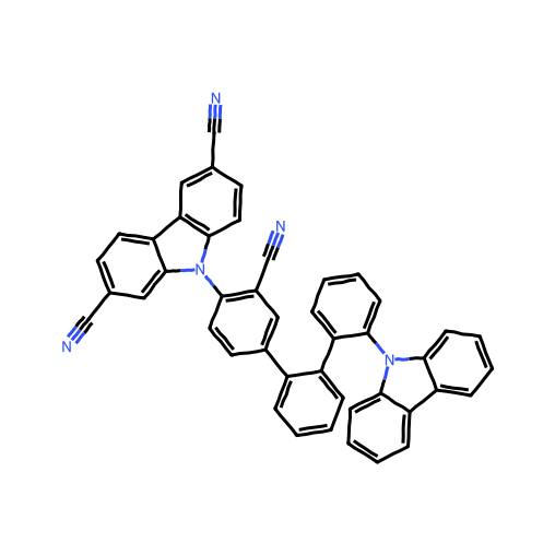 N#Cc1ccc2c(c1)c1ccc(C#N)cc1n2-c1ccc(-c2ccccc2-c2ccccc2-n2c3ccccc3c3ccccc32)cc1C#N